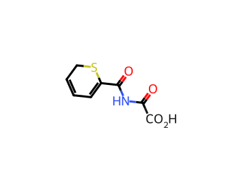 O=C(O)C(=O)NC(=O)C1=CC=CCS1